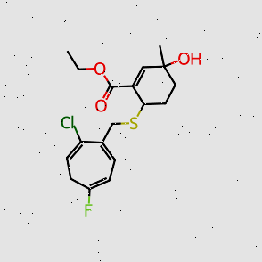 CCOC(=O)C1=CC(C)(O)CCC1SCC1=CC=C(F)CC=C1Cl